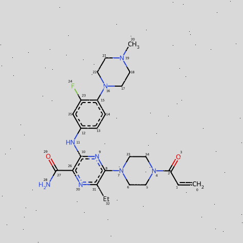 C=CC(=O)N1CCN(c2nc(Nc3ccc(N4CCN(C)CC4)c(F)c3)c(C(N)=O)nc2CC)CC1